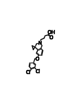 O=C(O)CCCN1Cc2ccc(OCc3ccc(Cl)c(Cl)c3)cc2C2(CC2)C1